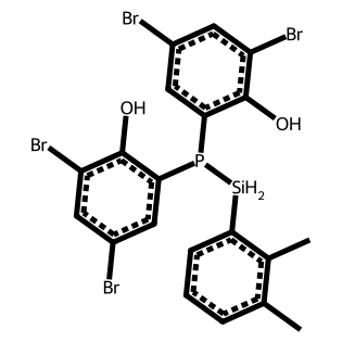 Cc1cccc([SiH2]P(c2cc(Br)cc(Br)c2O)c2cc(Br)cc(Br)c2O)c1C